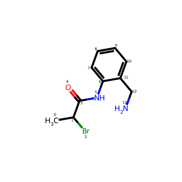 CC(Br)C(=O)Nc1ccccc1CN